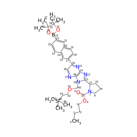 CCCCOC(=O)N1CCCC1c1nc2nc(-c3ccc4cc(B5OC(C)(C)C(C)(C)O5)ccc4c3)cnc2n1COCC[Si](C)(C)C